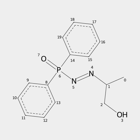 CC(CO)N=NP(=O)(c1ccccc1)c1ccccc1